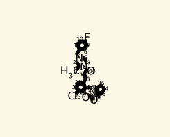 CC1CN(Cc2ccc(F)cc2)CCN1C(=O)C=Cc1ccc(Cl)cc1CN1C(=O)OCC12CCCC2